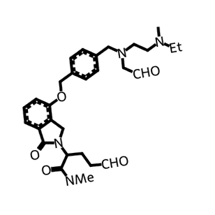 CCN(C)CCN(CC=O)Cc1ccc(COc2cccc3c2CN(C(CCC=O)C(=O)NC)C3=O)cc1